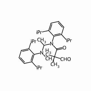 CC(C)c1cccc(C(C)C)c1N(C)C(C)N(C(=O)C(C)(C)C=O)c1c(C(C)C)cccc1C(C)C